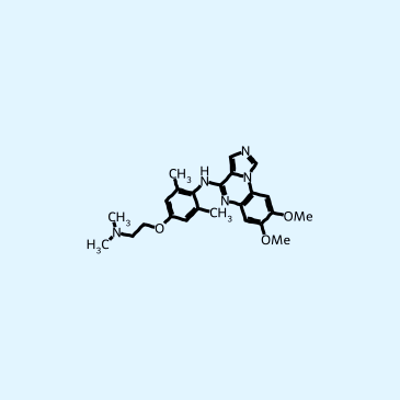 COc1cc2nc(Nc3c(C)cc(OCCN(C)C)cc3C)c3cncn3c2cc1OC